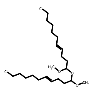 COC(CCC=CCCCCCCl)OC(CCC=CCCCCCCl)OC